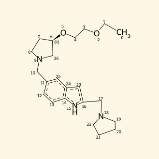 CCOCCO[C@@H]1CCN(Cc2ccc3[nH]c(CN4CCCC4)cc3c2)C1